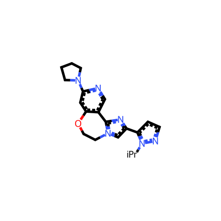 CC(C)n1nccc1-c1cn2c(n1)-c1cnc(N3CCCC3)cc1OCC2